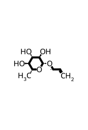 C=C[CH]O[C@@H]1O[C@H](C)[C@@H](O)[C@H](O)[C@H]1O